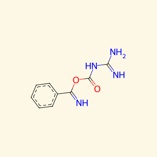 N=C(N)NC(=O)OC(=N)c1ccccc1